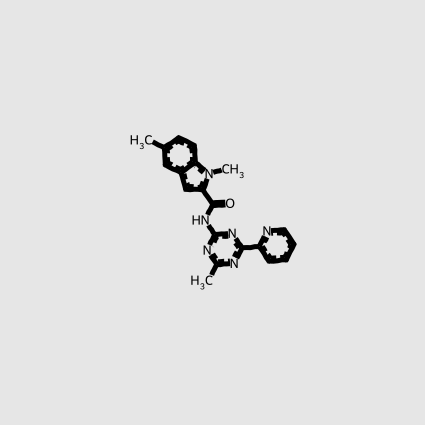 Cc1ccc2c(c1)cc(C(=O)Nc1nc(C)nc(-c3ccccn3)n1)n2C